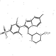 Cc1ccn2c(CC3CN(C(=O)O)CCO3)c(-c3c(F)cc(S(=O)(=O)Cl)cc3F)nc2c1